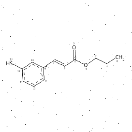 [CH2]CCOC(=O)/C=C/c1cccc(S)c1